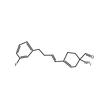 NC1(C=O)CC=C(/C=C/CCc2cccc(F)c2)CC1